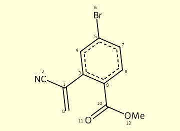 C=C(C#N)c1cc(Br)ccc1C(=O)OC